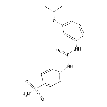 CC(C)Oc1cccc(NC(=O)Nc2ccc(S(N)(=O)=O)cc2)c1